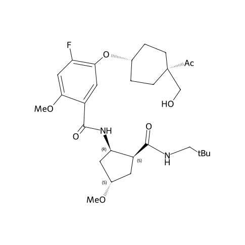 COc1cc(F)c(O[C@H]2CC[C@@](CO)(C(C)=O)CC2)cc1C(=O)N[C@@H]1C[C@@H](OC)C[C@@H]1C(=O)NCC(C)(C)C